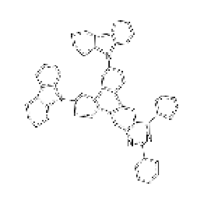 c1ccc(-c2nc(-c3ccccc3)c3cc4c5ccc(-n6c7ccccc7c7ccccc76)cc5c5cc(-n6c7ccccc7c7ccccc76)ccc5c4cc3n2)cc1